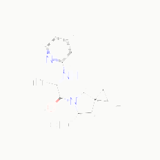 CC[C@H]1CC12CC(C=O)N(C(=O)C(Nc1ccccn1)C(C)C)C2